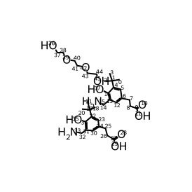 CC(C)(C)c1cc(CCC(=O)O)cc(CN)c1O.CC(C)(C)c1cc(CCC(=O)O)cc(CN)c1O.OCCOCCOCCO